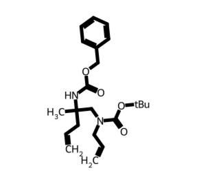 C=CCN(CC(C)(CC=C)NC(=O)OCc1ccccc1)C(=O)OC(C)(C)C